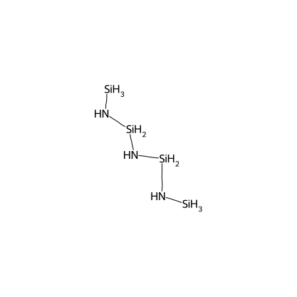 [SiH3]N[SiH2]N[SiH2]N[SiH3]